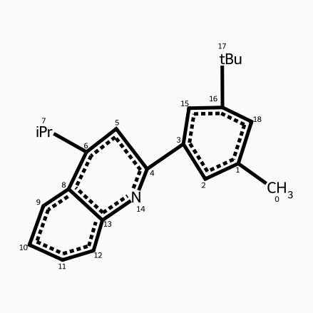 Cc1cc(-c2cc(C(C)C)c3ccccc3n2)cc(C(C)(C)C)c1